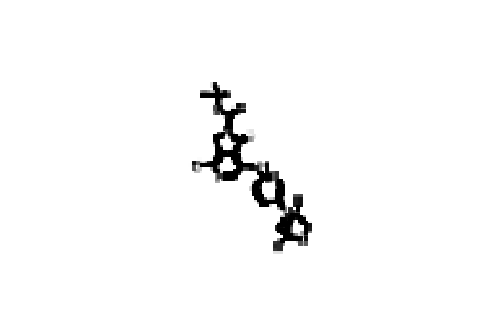 CC(C)(C)OC(=O)N1Cc2c(Cl)ncc(Nc3ccc(N4C[C@@H]5C[C@H]4CO5)cn3)c2C1=O